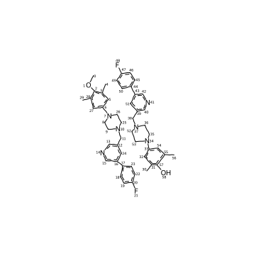 COc1c(C)cc(N2CCN(Cc3cncc(-c4ccc(F)cc4)c3)CC2)cc1C.Cc1cc(N2CCN(Cc3cncc(-c4ccc(F)cc4)c3)CC2)cc(C)c1O